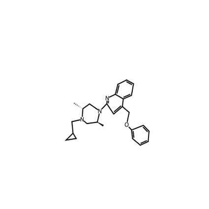 C[C@@H]1CN(c2cc(COc3ccccc3)c3ccccc3n2)[C@@H](C)CN1CC1CC1